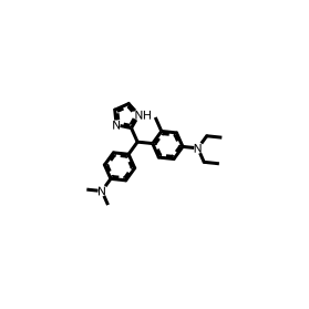 CCN(CC)c1ccc(C(c2ccc(N(C)C)cc2)c2ncc[nH]2)c(C)c1